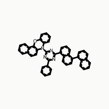 c1ccc(-c2nc(-c3cccc4c(-c5cccc6ccccc56)cccc34)nc(N3c4ccccc4Oc4c3ccc3ccccc43)n2)cc1